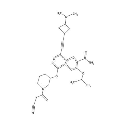 CC(C)Oc1cc2c(OC3CCCN(C(=O)CC#N)C3)ncc(C#CC3CC(N(C)C)C3)c2cc1C(N)=O